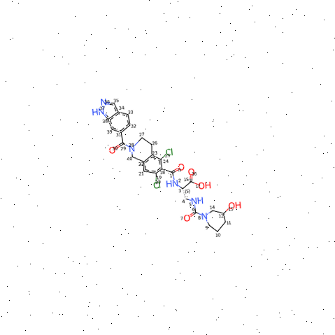 O=C(N[C@@H](CNC(=O)N1CCCC(O)C1)C(=O)O)c1c(Cl)cc2c(c1Cl)CCN(C(=O)c1ccc3cn[nH]c3c1)C2